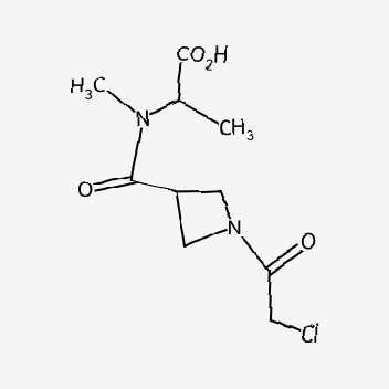 CC(C(=O)O)N(C)C(=O)C1CN(C(=O)CCl)C1